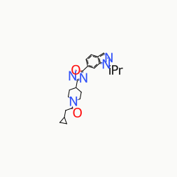 CC(C)n1ncc2ccc(-c3nc(C4CCN(C(=O)CC5CC5)CC4)no3)cc21